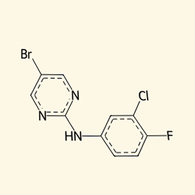 Fc1ccc(Nc2ncc(Br)cn2)cc1Cl